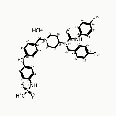 CS(=O)(=O)Nc1ccc(Oc2ccc(CN3CCC(N(Cc4ccc(F)cc4)C(=O)Nc4ccc(F)cc4)CC3)cc2)cc1.Cl